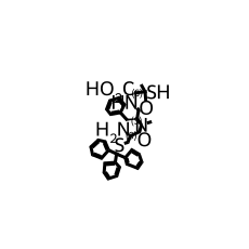 CN(C(=O)[C@H](N)CSC(c1ccccc1)(c1ccccc1)c1ccccc1)[C@@H](Cc1ccccc1)C(=O)N[C@@H](C(=O)O)C(C)(C)S